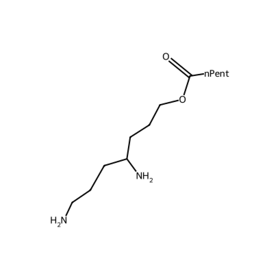 CCCCCC(=O)OCCCC(N)CCCN